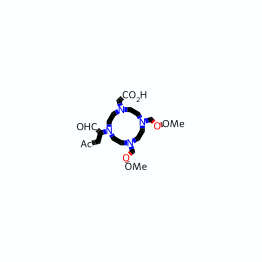 COOCN1CCN(COOC)CCN(C(C=O)CC(C)=O)CCN(CC(=O)O)CC1